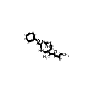 C=C/C(F)=C\C(Cl)C(C)/C1=C/N\C=C(COC2=C/CC=CC/C=C\2)/N=C(C)/N=C\C1